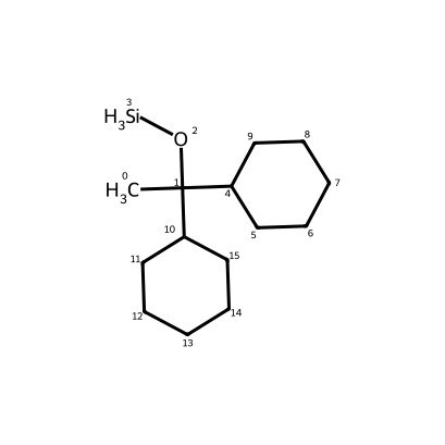 CC(O[SiH3])(C1CCCCC1)C1CCCCC1